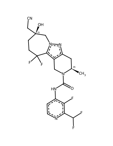 C[C@@H]1Cc2nn3c(c2CN1C(=O)Nc1ccnc(C(F)F)c1F)C(F)(F)CC[C@](O)(CC#N)C3